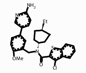 CC[C@H]1CC[C@H](N(Cc2cc(-c3ccc(N)nc3)ccc2OC)C(=O)c2sc3ccccc3c2Cl)CC1